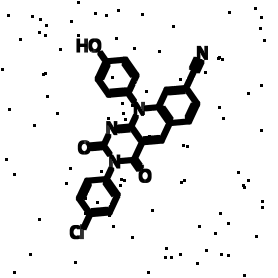 N#Cc1ccc2cc3c(=O)n(-c4ccc(Cl)cc4)c(=O)nc-3n(-c3ccc(O)cc3)c2c1